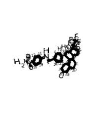 C[C@]12C[C@H](c3ccc(CNc4ccc(S(N)(=O)=O)cc4)cc3)C3=C4CCC(=O)C=C4CCC3C1CC[C@]2(O)C(F)(F)C(F)(F)F